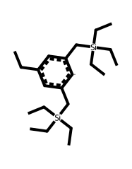 CCc1cc(C[Si](CC)(CC)CC)[c]c(C[Si](CC)(CC)CC)c1